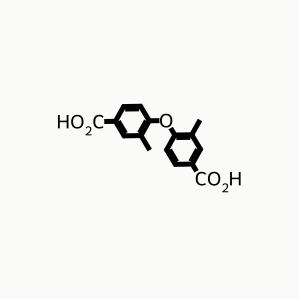 Cc1cc(C(=O)O)ccc1Oc1ccc(C(=O)O)cc1C